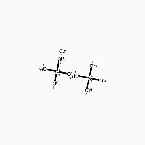 [Cu].[O-][N+](O)(O)O.[O-][N+](O)(O)O